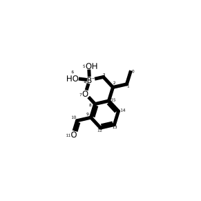 CCC1C[B-](O)(O)Oc2c(C=O)cccc21